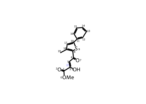 COC(=O)/C(O)=C/C(=O)c1sc(-c2ccccc2)cc1C